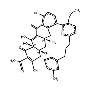 COc1ccc(CCCc2cccc(C)c2)cc1-c1ccc(O)c2c1C[C@]1(C)C[C@]3(C)CC(O)=C(C(C)=O)C(=O)[C@]3(O)C(O)=C1C2=O